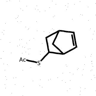 CC(=O)SC1CC2C=CC1C2